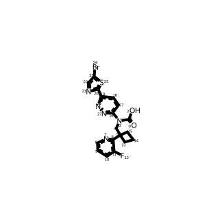 O=C(O)N(CC1(c2ncccc2F)CCC1)c1ccc(-c2ncc(Br)s2)nn1